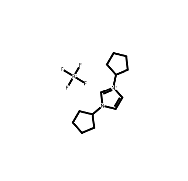 F[B-](F)(F)F.c1c[n+](C2CCCC2)cn1C1CCCC1